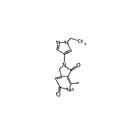 Cc1[nH]c(=O)cc2c1C(=O)N(c1cnn(CC(F)(F)F)c1)C2